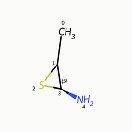 CC1S[C@@H]1N